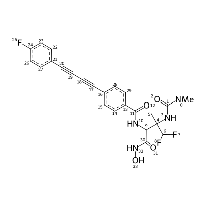 CNC(=O)NC(C)(C(F)F)C(NC(=O)c1ccc(C#CC#Cc2ccc(F)cc2)cc1)C(=O)NO